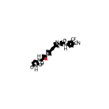 CC(C)(C(=O)Nc1ccc(C#N)c(C(F)(F)F)c1)n1cc(C#CC2CN(C34CC(C(=O)NC5CCC(=O)NC5=O)(C3)C4)C2)cn1